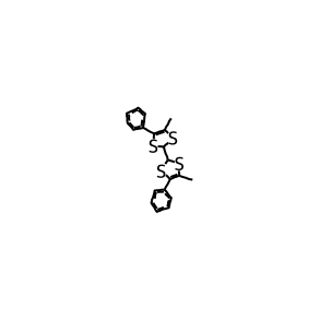 CC1=C(c2ccccc2)SC(C2SC(C)=C(c3ccccc3)S2)S1